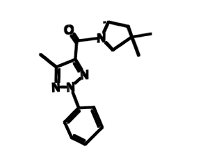 Cc1nn(-c2ccccc2)nc1C(=O)N1[CH]CC(C)(C)C1